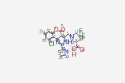 COC(=O)C1=C(CN2C[C@H](C(=O)O)CC(F)(F)C2)NC(c2nccs2)=N[C@H]1c1ccc(F)cc1Cl